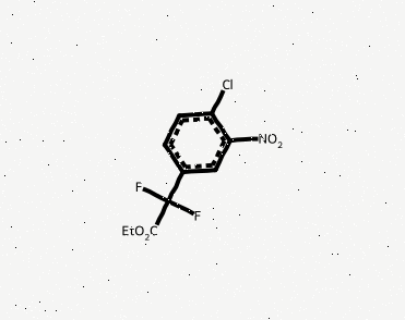 CCOC(=O)C(F)(F)c1ccc(Cl)c([N+](=O)[O-])c1